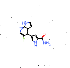 NC(=O)c1cc(-c2c(F)cnc3[nH]ccc23)c[nH]1